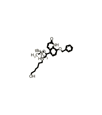 CC(C)(C)[Si](C)(C)OC(CNCCCCCCO)c1ccc(OCc2ccccc2)c2[nH]c(=O)ccc12